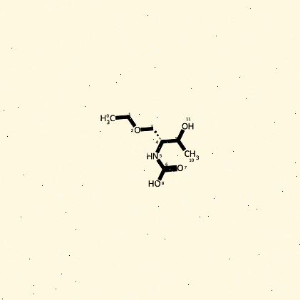 CCOC[C@@H](NC(=O)O)C(C)O